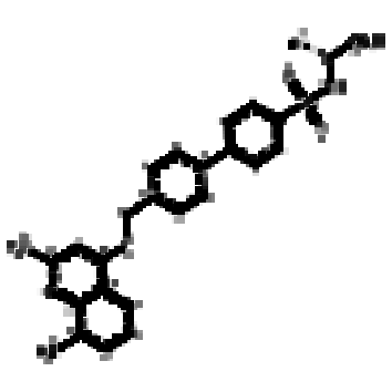 CC(C)[C@@H](NS(=O)(=O)c1ccc(-c2ccc(COc3cc(C(F)(F)F)nc4c(C(F)(F)F)cccc34)cc2)cc1)C(=O)O